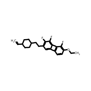 C=CC1CCC(CCc2cc3c(c(F)c2F)-c2c-3ccc(OCC)c2F)CC1